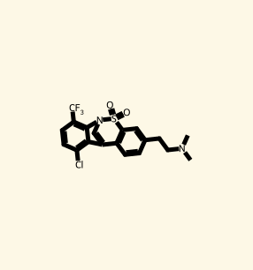 CN(C)CCc1ccc2c(c1)S(=O)(=O)n1cc-2c2c(Cl)ccc(C(F)(F)F)c21